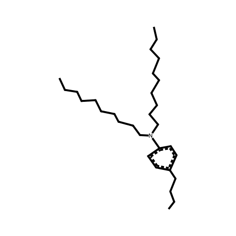 CCCCCCCCCCN(CCCCCCCCCC)c1ccc(CCCC)cc1